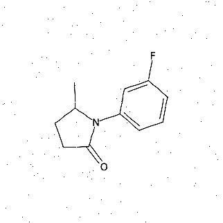 CC1CCC(=O)N1c1cccc(F)c1